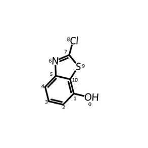 Oc1cccc2nc(Cl)sc12